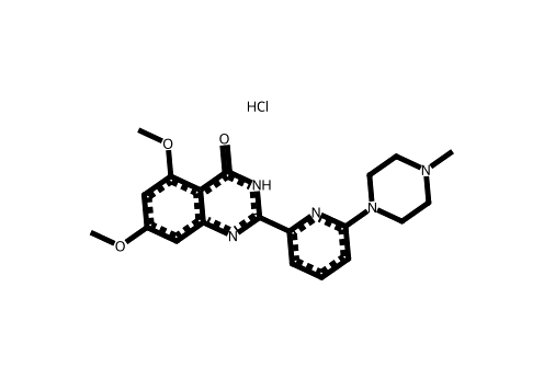 COc1cc(OC)c2c(=O)[nH]c(-c3cccc(N4CCN(C)CC4)n3)nc2c1.Cl